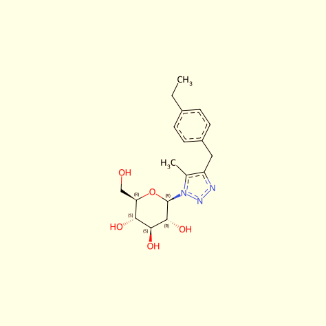 CCc1ccc(Cc2nnn([C@@H]3O[C@H](CO)[C@@H](O)[C@H](O)[C@H]3O)c2C)cc1